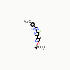 COc1ccc(-c2cnc(-c3ncc(-c4cnc(OCC5(C(=O)O)CC5)cc4C)cc3F)[nH]2)cc1